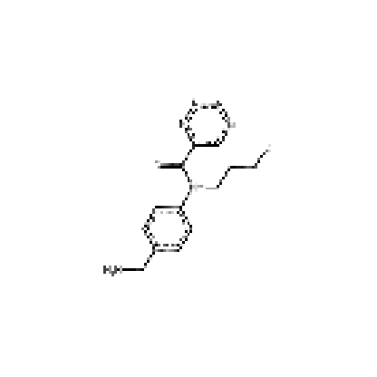 NCc1ccc(N(CCCCl)C(=O)c2cnnnn2)cc1